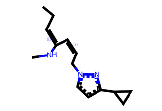 CC/C=C(\C=C/Cn1ccc(C2CC2)n1)NC